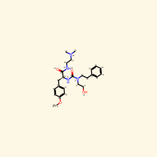 CC(C)Oc1ccc(C[C@H](NC(=O)N(CCO)CCc2ccccc2)C(=O)NCCN(C)C)cc1